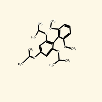 COc1cccc(OC)c1-c1c(OC(C)C)cc(OC(C)C)cc1OC(C)C